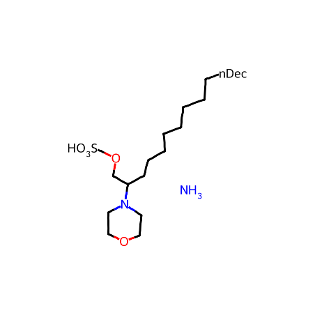 CCCCCCCCCCCCCCCCCCC(COS(=O)(=O)O)N1CCOCC1.N